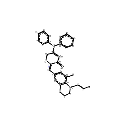 CCCN1CCCc2cc(/C=C3/OCC(N(c4ccccc4)c4ccccc4)=NC3=O)cc(C)c21